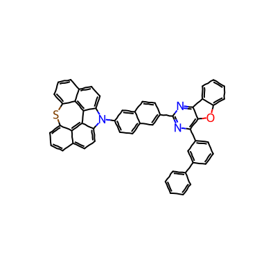 c1ccc(-c2cccc(-c3nc(-c4ccc5cc(-n6c7ccc8cccc9sc%10cccc%11ccc6c(c%11%10)c7c89)ccc5c4)nc4c3oc3ccccc34)c2)cc1